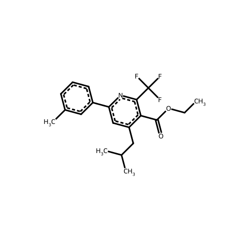 CCOC(=O)c1c(CC(C)C)cc(-c2cccc(C)c2)nc1C(F)(F)F